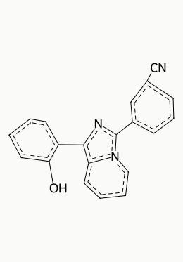 N#Cc1cccc(-c2nc(-c3ccccc3O)c3ccccn23)c1